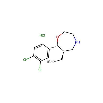 CSC[C@@H]1CNCCO[C@H]1c1ccc(Cl)c(Cl)c1.Cl